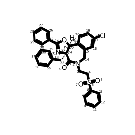 O=C1N(CCS(=O)(=O)c2ccccc2)Cc2cc(Cl)ccc2[C@@H]2OC(c3ccccc3)=N[C@]12Cc1ccccc1